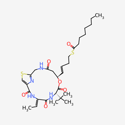 C/C=C1\NC(=O)c2csc(n2)CNC(=O)C[C@@H](/C=C/CCSC(=O)CCCCCCC)OC(=O)[C@H](C(C)(C)C)NC1=O